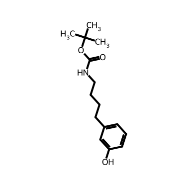 CC(C)(C)OC(=O)NCCCCc1cccc(O)c1